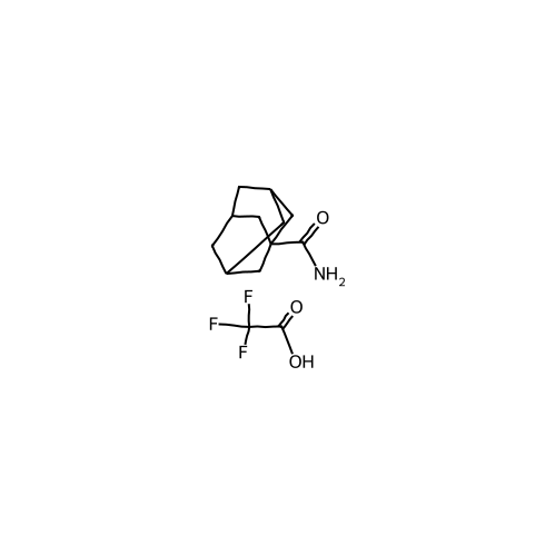 NC(=O)C12CC3CC(CC(C3)C1)C2.O=C(O)C(F)(F)F